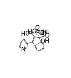 CC(O)C1=C(c2cccnc2)c2ccccc2C1(P(=O)(O)O)P(=O)(O)O